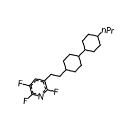 CCCC1CCC(C2CCC(CCc3cc(F)c(F)nc3F)CC2)CC1